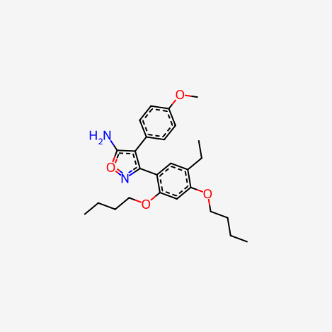 CCCCOc1cc(OCCCC)c(-c2noc(N)c2-c2ccc(OC)cc2)cc1CC